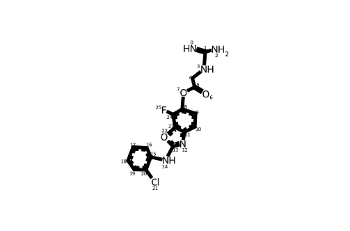 N=C(N)NCC(=O)Oc1ccc2nc(Nc3ccccc3Cl)oc2c1F